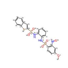 COc1ccc(S(=O)(=O)Nc2ccccc2NS(=O)(=O)c2cc3ccccc3s2)c(N=O)c1